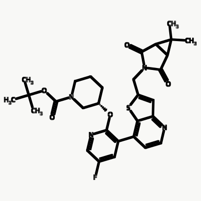 CC(C)(C)OC(=O)N1CCC[C@H](Oc2ncc(F)cc2-c2ccnc3cc(CN4C(=O)C5C(C4=O)C5(C)C)sc23)C1